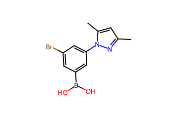 Cc1cc(C)n(-c2cc(Br)cc(B(O)O)c2)n1